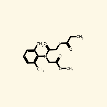 CCC(=O)SCC(=O)N(CC(=O)OC)c1c(C)cccc1C